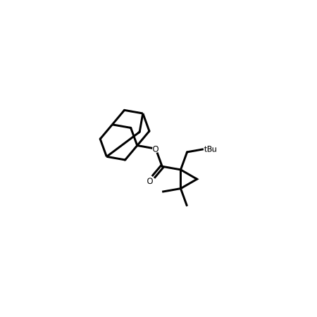 CC(C)(C)CC1(C(=O)OC23CC4CC(CC(C4)C2)C3)CC1(C)C